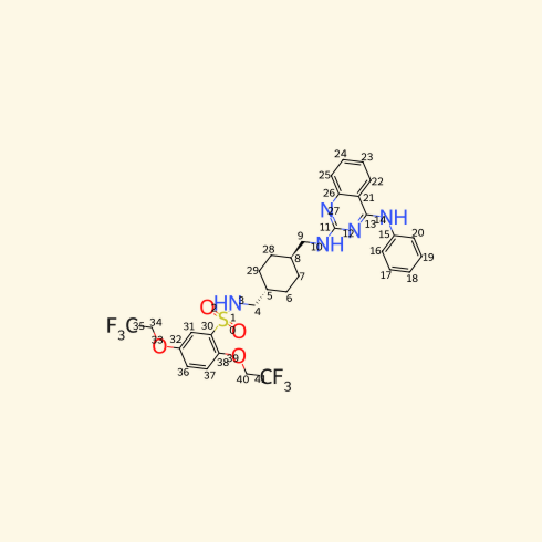 O=S(=O)(NC[C@H]1CC[C@H](CNc2nc(Nc3ccccc3)c3ccccc3n2)CC1)c1cc(OCC(F)(F)F)ccc1OCC(F)(F)F